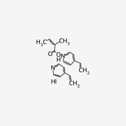 C=Cc1ccncc1.C=Cc1ccncc1.CC=C(C)C(=O)O.I